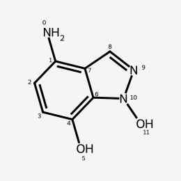 Nc1ccc(O)c2c1cnn2O